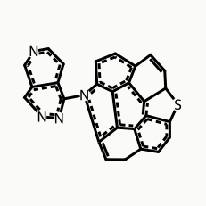 C1=CC2Sc3ccc4c5c3c2c2c1ccc1c2c5c(n1-c1nncc2cnccc12)=CC4